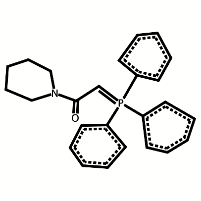 O=C(C=P(c1ccccc1)(c1ccccc1)c1ccccc1)N1CCCCC1